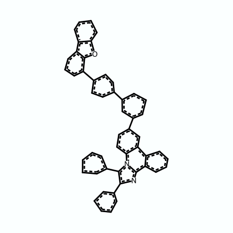 c1ccc(-c2nc3c4ccccc4c4cc(-c5cccc(-c6ccc(-c7cccc8c7oc7ccccc78)cc6)c5)ccc4n3c2-c2ccccc2)cc1